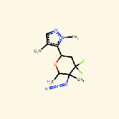 CC1OC(c2c([N+](=O)[O-])cnn2C)CC(F)(F)C1(C)N=[N+]=[N-]